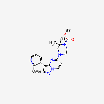 COc1ncccc1-c1cnn2ccc(N3CCN(C(=O)OC(C)C)C(C)(C)C3)nc12